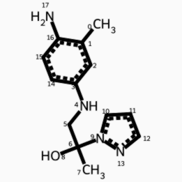 Cc1cc(NCC(C)(O)n2cccn2)ccc1N